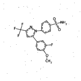 COc1ccc(-c2cc(C(F)(F)F)nn2-c2ccc(S(N)(=O)=O)cc2)cc1F